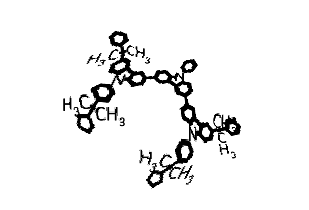 CC(C)(c1ccccc1)c1ccc2c(c1)c1cc(-c3ccc4c(c3)c3cc(-c5ccc6c(c5)c5cc(C(C)(C)c7ccccc7)ccc5n6-c5ccc(C(C)(C)C6CCCC6)cc5)ccc3n4-c3ccccc3)ccc1n2-c1ccc(C(C)(C)C2CCCC2)cc1